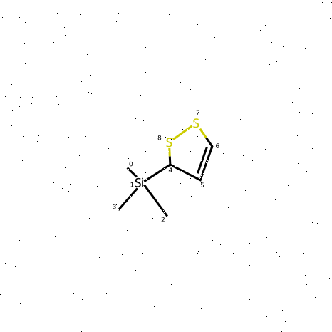 C[Si](C)(C)C1C=CSS1